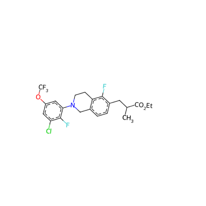 CCOC(=O)C(C)Cc1ccc2c(c1F)CCN(c1cc(OC(F)(F)F)cc(Cl)c1F)C2